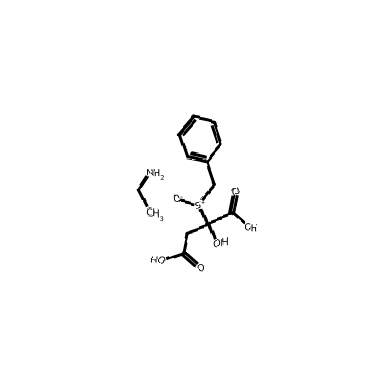 CCN.O=C(O)CC(O)(C(=O)O)[S+]([O-])Cc1ccccc1